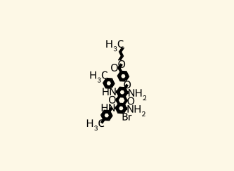 CCCCCOC(=O)c1ccc(Oc2cc(Nc3ccc(C)cc3)c3c(c2N)C(=O)c2c(N)c(Br)cc(Nc4ccc(C)cc4)c2C3=O)cc1